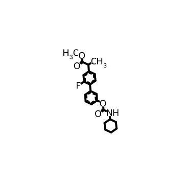 COC(=O)C(C)c1ccc(-c2cccc(OC(=O)NC3CCCCC3)c2)c(F)c1